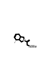 C=C(CNC)N1CC2CC=C[C@@H](C)C2C1